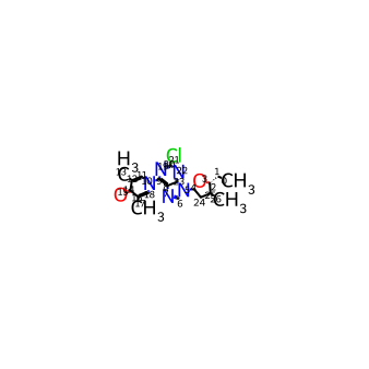 CC[C@H]1OC(n2cnc3c(-n4cc(C)c(=O)c(C)c4)nc(Cl)nc32)CC1C